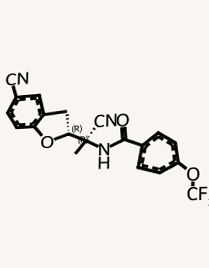 C[C@](C#N)(NC(=O)c1ccc(OC(F)(F)F)cc1)[C@H]1Cc2cc(C#N)ccc2O1